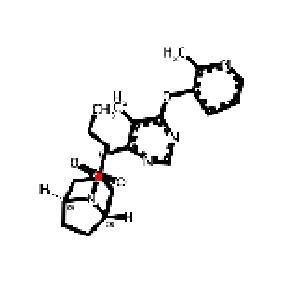 CCCS(=O)(=O)N1[C@H]2CC[C@H]1CC(Oc1ncnc(Oc3cccnc3C)c1C)C2